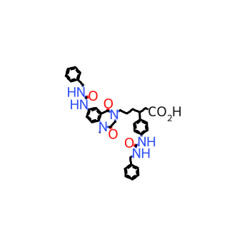 CN1C(=O)CN(CCCC(CC(=O)O)c2ccc(NC(=O)NCc3ccccc3)cc2)C(=O)c2cc(NC(=O)NCc3ccccc3)ccc21